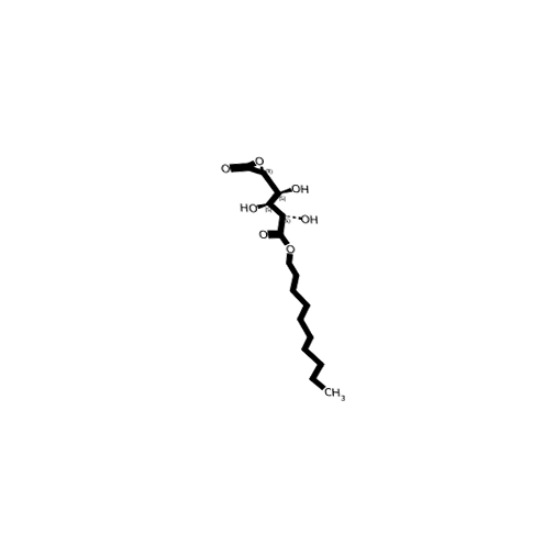 CCCCCCCCCCOC(=O)[C@@H](O)[C@@H](O)[C@H](O)[C@H]1OC1=O